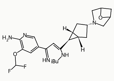 CCC(C)N/C(=C\C(=N)c1cnc(N)c(OC(F)F)c1)[C@H]1[C@@H]2C[C@H](N3CC4CC(C3)O4)C[C@@H]21